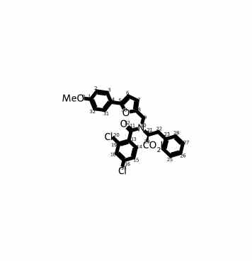 COc1ccc(-c2ccc(CN(C(=O)c3ccc(Cl)cc3Cl)[C@@H](Cc3ccccc3)C(=O)O)o2)cc1